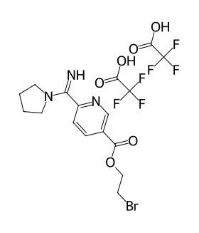 N=C(c1ccc(C(=O)OCCBr)cn1)N1CCCC1.O=C(O)C(F)(F)F.O=C(O)C(F)(F)F